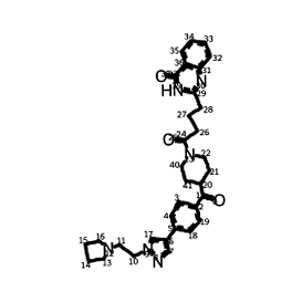 O=C(c1ccc(-c2cnn(CCN3CCCC3)c2)cc1)C1CCN(C(=O)CCCc2nc3ccccc3c(=O)[nH]2)CC1